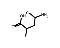 CC(CC(N)Cl)C(=O)O